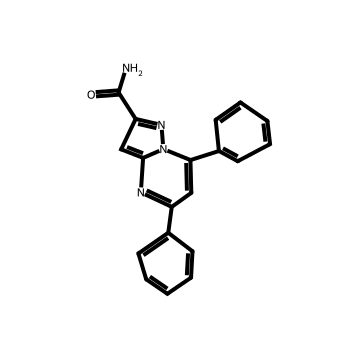 NC(=O)c1cc2nc(-c3ccccc3)cc(-c3ccccc3)n2n1